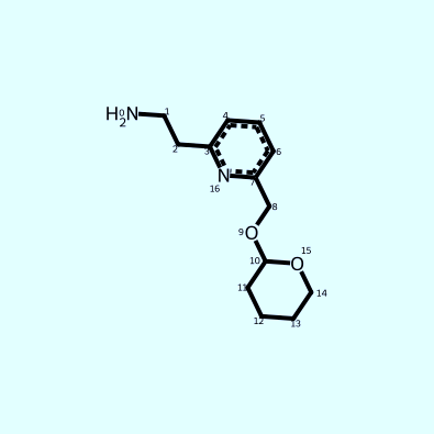 NCCc1cccc(COC2CCCCO2)n1